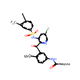 CNC(=O)Nc1ccc(OC)c(C(=O)c2ncc(Cl)cc2NS(=O)(=O)c2ccc(C)c(C(F)(F)F)c2)c1